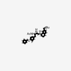 CC(=O)N[C@H](Cc1ccc(OCc2ccccc2)c(F)c1)[C@@H](O)CN[C@H]1CCCc2ccc(CC(C)(C)C)cc21